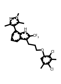 Cc1cc(OCCCc2c(C(F)(F)F)[nH]c3c(-c4c(C)nn(C)c4C)cccc23)c(Cl)c(C)c1Cl